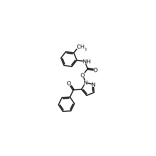 Cc1ccccc1NC(=O)On1nccc1C(=O)c1ccccc1